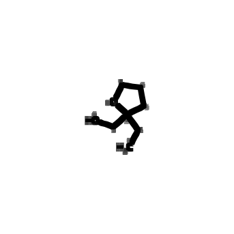 CCC1(CO)CCCO1